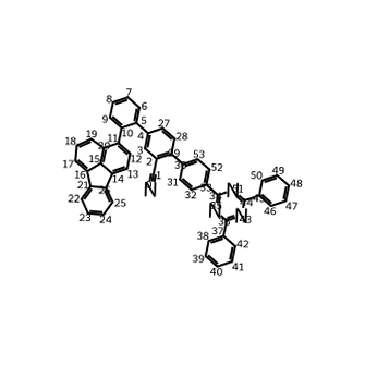 N#Cc1cc(-c2ccccc2-c2ccc3c4c(cccc24)-c2ccccc2-3)ccc1-c1ccc(-c2nc(-c3ccccc3)nc(-c3ccccc3)n2)cc1